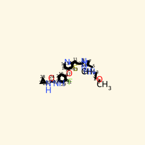 COCCNCc1cnc(-c2cc3nccc(Oc4ccc(NC(=O)NC5CC5)cc4F)c3s2)n1C